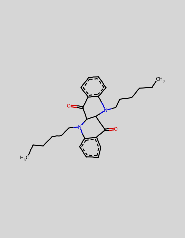 CCCCCCN1c2ccccc2C(=O)C2C1C(=O)c1ccccc1N2CCCCCC